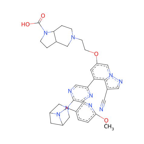 COc1ccc(CN2C3CC2CN(c2cnc(-c4cc(OCCN5CCC6C(CCN6C(=O)O)C5)cn5ncc(C#N)c45)cn2)C3)cn1